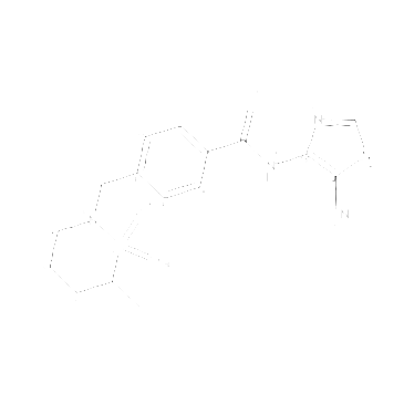 CC1CC[C@H](C)N(Cc2ccc(C(=O)Nc3nc[nH]c3C#N)cc2)S1(=O)=O